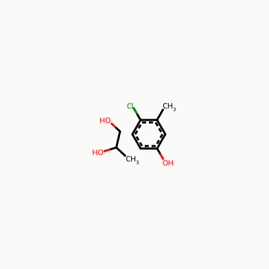 CC(O)CO.Cc1cc(O)ccc1Cl